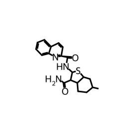 CC1CCC2C(C1)SC(NC(=O)c1ccc3ccccc3n1)C2C(N)=O